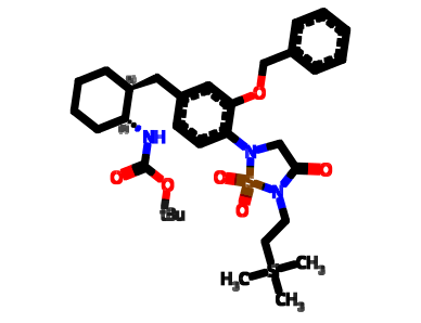 CC(C)(C)OC(=O)N[C@@H]1CCCC[C@H]1Cc1ccc(N2CC(=O)N(CC[Si](C)(C)C)S2(=O)=O)c(OCc2ccccc2)c1